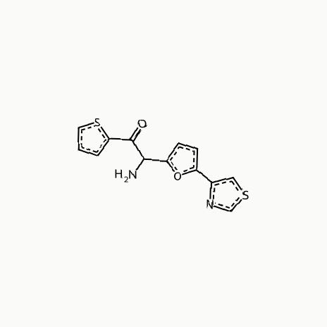 NC(C(=O)c1cccs1)c1ccc(-c2cscn2)o1